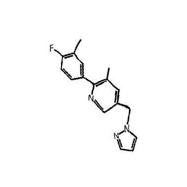 Cc1cc(-c2ncc(Cn3cccn3)cc2C)ccc1F